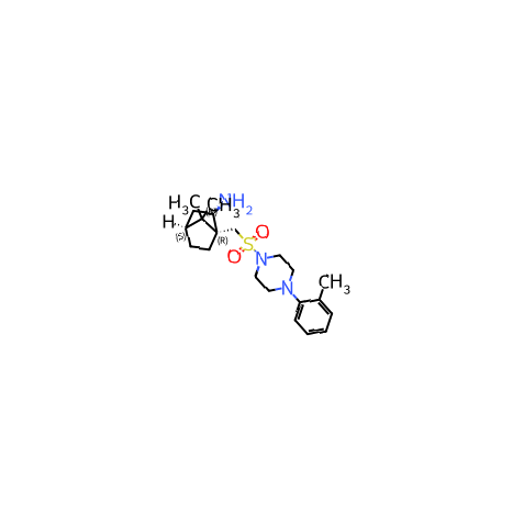 Cc1ccccc1N1CCN(S(=O)(=O)C[C@@]23CC[C@@H](C[C@H]2N)C3(C)C)CC1